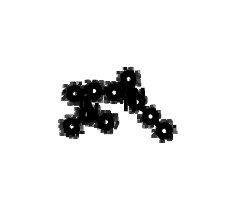 c1ccc(-c2ccc(-c3cnc(-n4c5ccccc5c5cc(-c6ccc7c8ccccc8n(-c8cc(-c9ccccc9)cc(-c9ccccc9)n8)c7c6)ccc54)nc3)cc2)cc1